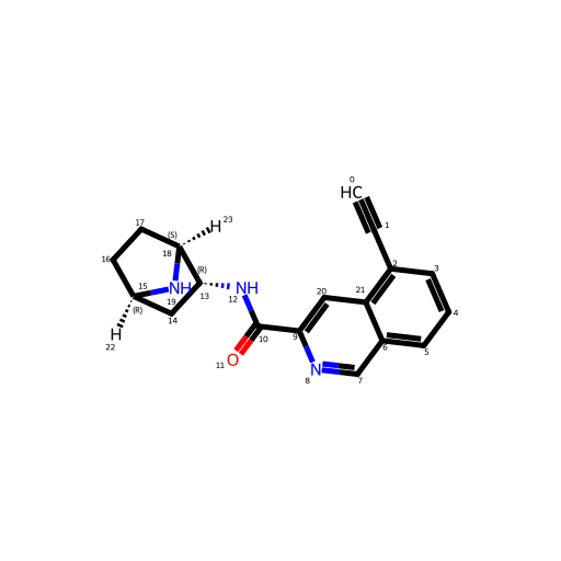 C#Cc1cccc2cnc(C(=O)N[C@@H]3C[C@H]4CC[C@@H]3N4)cc12